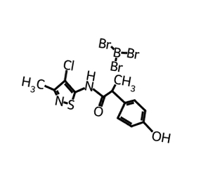 BrB(Br)Br.Cc1nsc(NC(=O)C(C)c2ccc(O)cc2)c1Cl